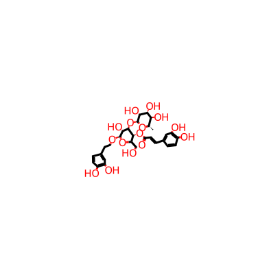 C[C@@H]1O[C@@H](O[C@@H]2[C@@H](O)[C@H](OCCc3ccc(O)c(O)c3)OC(CO)[C@H]2OC(=O)/C=C/c2ccc(O)c(O)c2)[C@H](O)[C@H](O)[C@H]1O